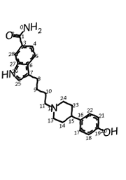 NC(=O)c1ccc2c(CCCCN3CCC(c4ccc(O)cc4)CC3)c[nH]c2c1